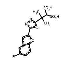 CC(C)(c1nnc(-c2cc3cc(Br)ccc3o2)o1)C(S(=O)(=O)O)S(=O)(=O)O